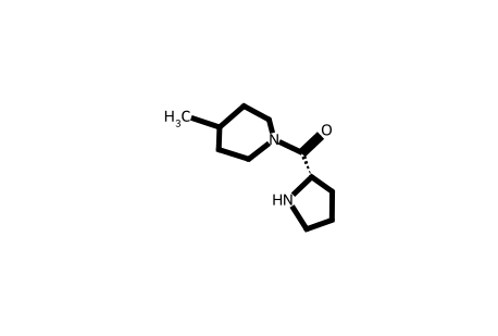 CC1CCN(C(=O)[C@@H]2CCCN2)CC1